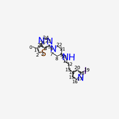 Cc1csc2c(N3CCC(NCCCc4ccnc(I)c4)CC3)ncnc12